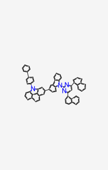 c1ccc(-c2ccc(-n3c4cccc5ccc6cc(-c7ccc8c(c7)c7ccccc7n8-c7nc(-c8cccc9ccccc89)cc(-c8cccc9ccccc89)n7)cc3c6c54)cc2)cc1